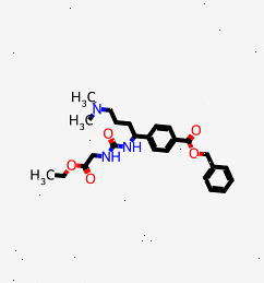 CCOC(=O)CNC(=O)NC(CCCN(C)C)c1ccc(C(=O)OCc2ccccc2)cc1